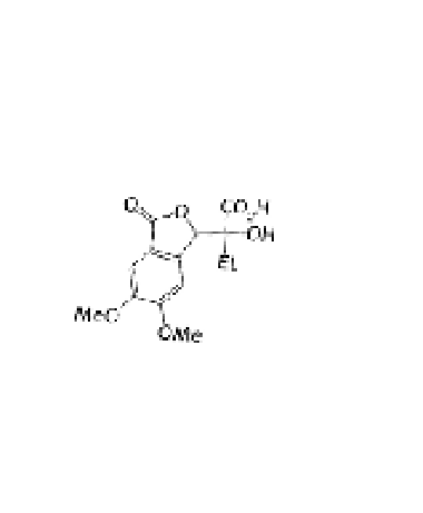 CCC(O)(C(=O)O)C1OC(=O)c2cc(OC)c(OC)cc21